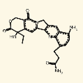 CCC1(O)C(=O)OCc2c1cc1n(c2=O)Cc2cc3c(N)ccc(CCC(N)=O)c3nc2-1